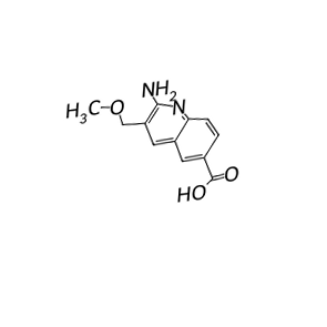 COCc1cc2cc(C(=O)O)ccc2nc1N